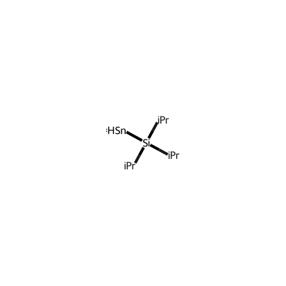 CC(C)[Si]([SnH])(C(C)C)C(C)C